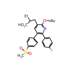 CCCCOc1nc(-c2ccc(F)cc2)c(-c2ccc(S(C)(=O)=O)cc2)cc1CC(CC)C(=O)O